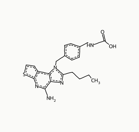 CCCCc1nc2c(N)nc3sccc3c2n1Cc1ccc(CNC(=O)O)cc1